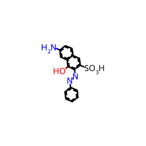 Nc1ccc2cc(S(=O)(=O)O)c(/N=N/c3ccccc3)c(O)c2c1